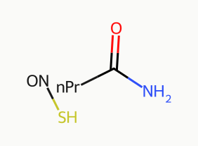 CCCC(N)=O.O=NS